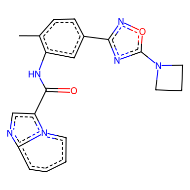 Cc1ccc(-c2noc(N3CCC3)n2)cc1NC(=O)c1cnc2ccccn12